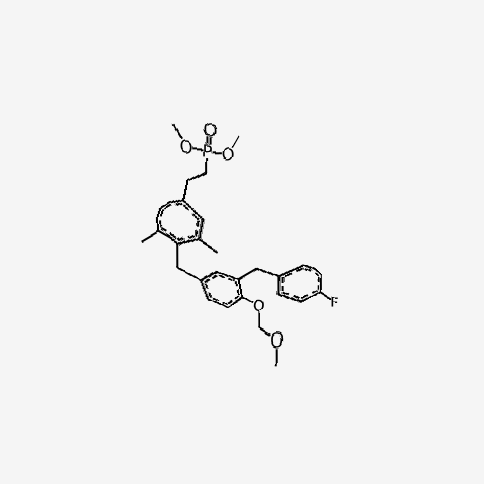 COCOc1ccc(Cc2c(C)cc(CCP(=O)(OC)OC)cc2C)cc1Cc1ccc(F)cc1